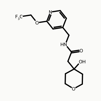 O=C(CC1(O)CCOCC1)NCc1ccnc(OCC(F)(F)F)c1